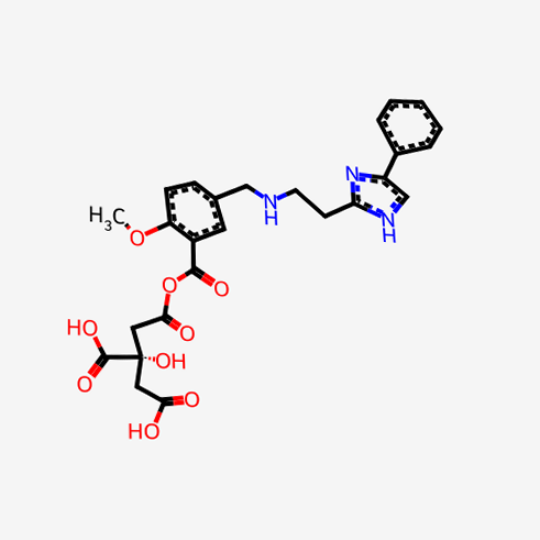 COc1ccc(CNCCc2nc(-c3ccccc3)c[nH]2)cc1C(=O)OC(=O)C[C@@](O)(CC(=O)O)C(=O)O